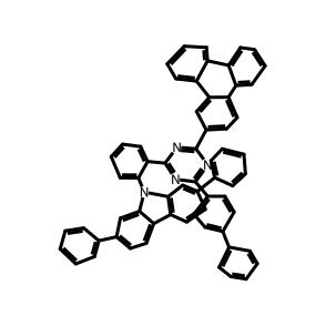 c1ccc(-c2ccc(-c3nc(-c4ccc5c6ccccc6c6ccccc6c5c4)nc(-c4ccccc4-n4c5cc(-c6ccccc6)ccc5c5ccc(-c6ccccc6)cc54)n3)cc2)cc1